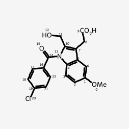 COc1ccc2c(c1)c(CC(=O)O)c(CO)n2C(=O)c1ccc(Cl)cc1